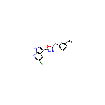 Cc1cccc(Cc2nnc(-c3c[nH]c4ncc(Br)cc34)o2)c1